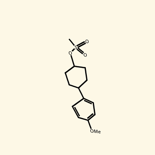 COc1ccc(C2CCC(OS(C)(=O)=O)CC2)cc1